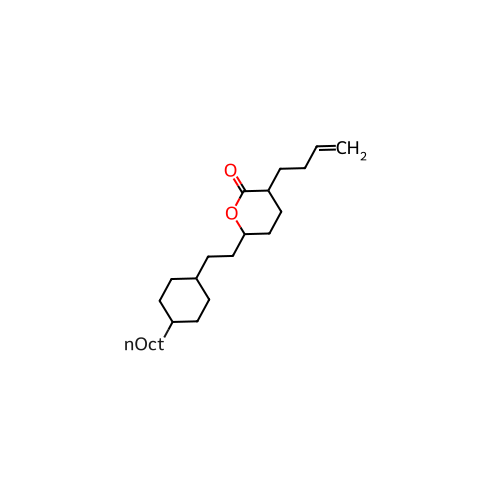 C=CCCC1CCC(CCC2CCC(CCCCCCCC)CC2)OC1=O